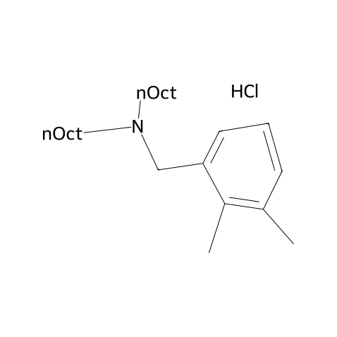 CCCCCCCCN(CCCCCCCC)Cc1cccc(C)c1C.Cl